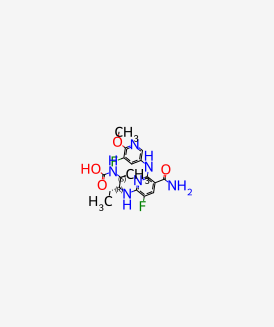 CC[C@@H](Nc1nc(Nc2cnc(OC)c(F)c2)c(C(N)=O)cc1F)[C@H](C)NC(=O)O